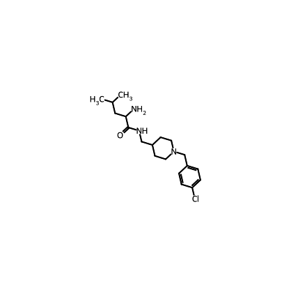 CC(C)CC(N)C(=O)NCC1CCN(Cc2ccc(Cl)cc2)CC1